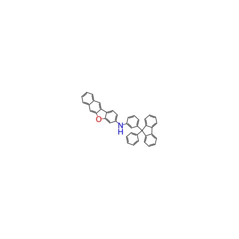 c1ccc(C2(c3cccc(Nc4ccc5c(c4)oc4cc6ccccc6cc45)c3)c3ccccc3-c3ccccc32)cc1